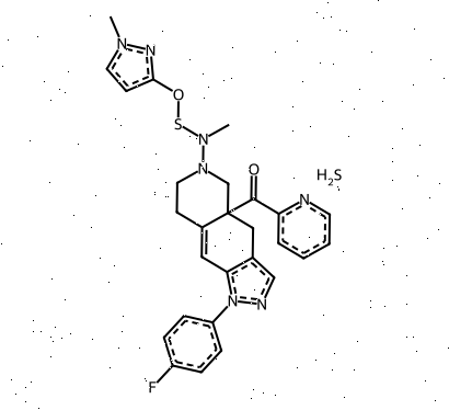 CN(SOc1ccn(C)n1)N1CCC2=Cc3c(cnn3-c3ccc(F)cc3)CC2(C(=O)c2ccccn2)C1.S